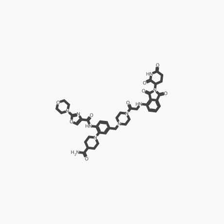 NC(=O)C1CCN(c2cc(CN3CCN(C(=O)CNc4cccc5c4C(=O)N(C4CCC(=O)NC4=O)C5=O)CC3)ccc2NC(=O)c2coc(N3CCOCC3)n2)CC1